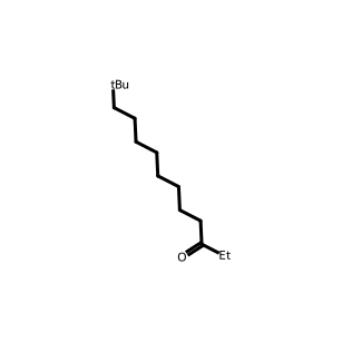 CCC(=O)CCCCCCCCC(C)(C)C